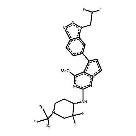 [2H]C([2H])([2H])N1CC[C@@H](Nc2nc(OC)c3c(-c4ccc5nnn(CC(F)F)c5c4)ccn3n2)C(F)(F)C1